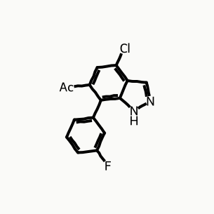 CC(=O)c1cc(Cl)c2cn[nH]c2c1-c1cccc(F)c1